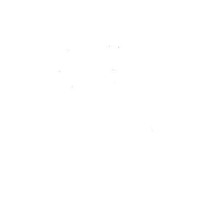 CNc1cc2ncnc(Nc3ccc(F)c(Cl)c3)c2cc1NC(=O)C=CCCCN1CCCCC1